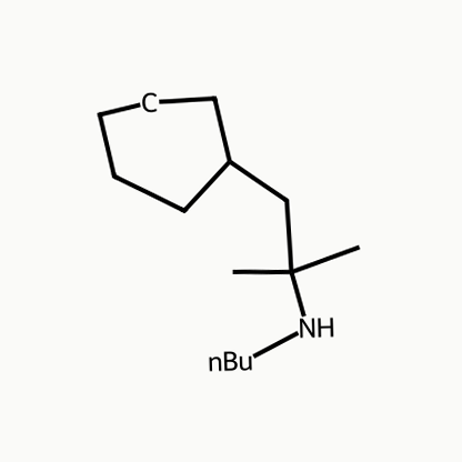 CCCCNC(C)(C)CC1CCCCC1